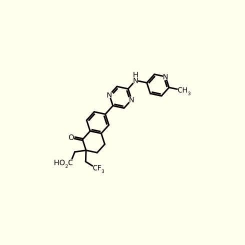 Cc1ccc(Nc2cnc(-c3ccc4c(c3)CCC(CC(=O)O)(CC(F)(F)F)C4=O)cn2)cn1